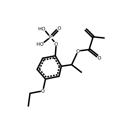 C=C(C)C(=O)OC(C)c1cc(OCC)ccc1OP(=O)(O)O